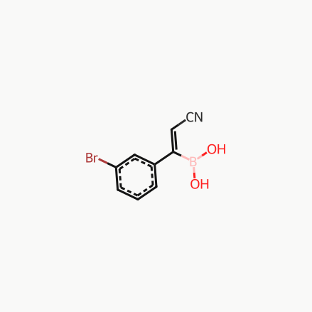 N#CC=C(B(O)O)c1cccc(Br)c1